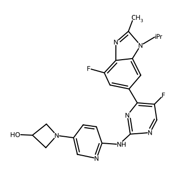 Cc1nc2c(F)cc(-c3nc(Nc4ccc(N5CC(O)C5)cn4)ncc3F)cc2n1C(C)C